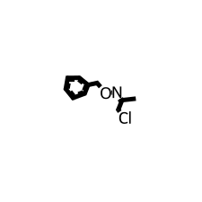 CC(CCl)=NOCc1ccccc1